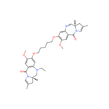 CCN1C[C@@H]2CC(C)=CN2C(=O)c2cc(OC)c(OCCCCCOc3cc4c(cc3OC)C(=O)N3C=C(C)C[C@H]3C=N4)cc21